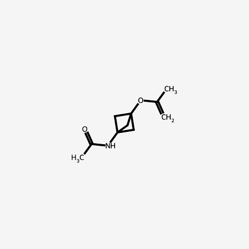 C=C(C)OC12CC(NC(C)=O)(C1)C2